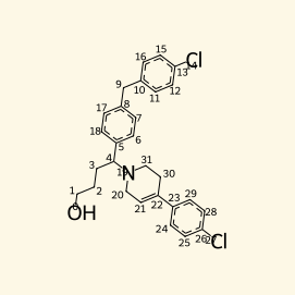 OCCCC(c1ccc(Cc2ccc(Cl)cc2)cc1)N1CC=C(c2ccc(Cl)cc2)CC1